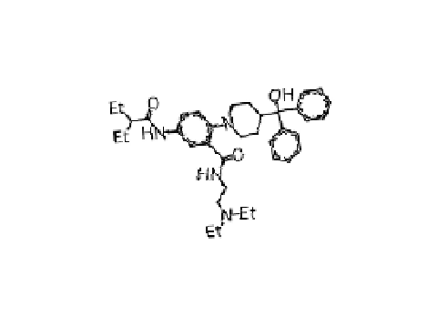 CCC(CC)C(=O)Nc1ccc(N2CCC(C(O)(c3ccccc3)c3ccccc3)CC2)c(C(=O)NCCN(CC)CC)c1